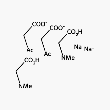 CC(=O)CC(=O)[O-].CC(=O)CC(=O)[O-].CNCC(=O)O.CNCC(=O)O.[Na+].[Na+]